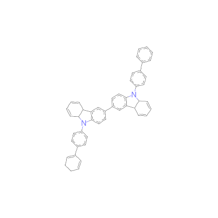 C1=CC2c3cc(-c4ccc5c(c4)C4C=CC=CC4N5c4ccc(-c5ccccc5)cc4)ccc3N(c3ccc(C4=CCCC=C4)cc3)C2C=C1